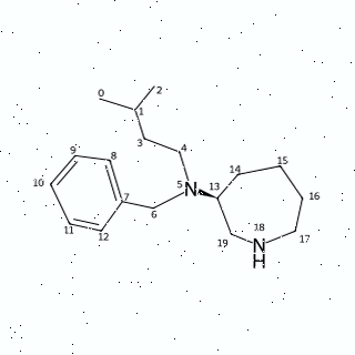 CC(C)CCN(Cc1ccccc1)[C@H]1CCCCNC1